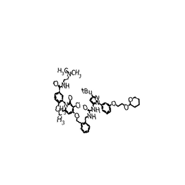 Cc1ccc(C(=O)NCCN(C)C)cc1-n1c(C)cc(OCc2ccccc2CNC(=O)Nc2cc(C(C)(C)C)nn2-c2cccc(OCCOC3CCCCO3)c2)c(Cl)c1=O